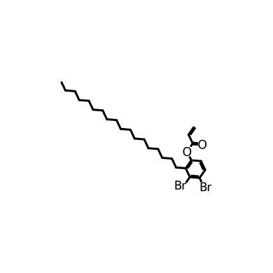 C=CC(=O)Oc1ccc(Br)c(Br)c1CCCCCCCCCCCCCCCCCC